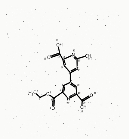 CCOC(=O)c1cc(-c2cc(C)nc(C(=O)O)c2)cc(C(=O)O)n1